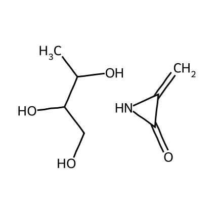 C=C1NC1=O.CC(O)C(O)CO